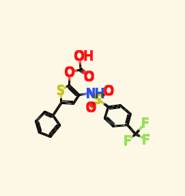 O=C(O)Oc1sc(-c2ccccc2)cc1NS(=O)(=O)c1ccc(C(F)(F)F)cc1